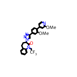 COc1cc(-c2ccc(-c3cn(C4CCc5ccccc5N(CC(F)(F)F)C4=O)nn3)cc2OC)ccn1